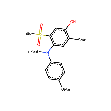 CCCCCN(c1ccc(OC)cc1)c1cc(SC)c(O)cc1S(=O)(=O)CCCC